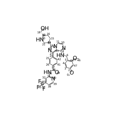 COc1ccc(CNc2nccn3c([C@H]4CC[C@@H](CO)NC4)nc(-c4ccc(C(=O)Nc5cc(C(F)(F)F)ccn5)cc4)c23)c(OC)c1